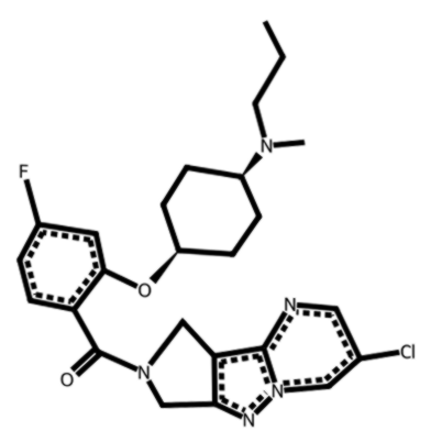 CCCN(C)[C@H]1CC[C@@H](Oc2cc(F)ccc2C(=O)N2Cc3nn4cc(Cl)cnc4c3C2)CC1